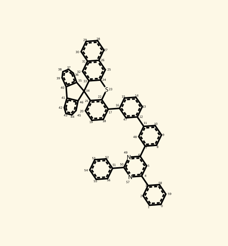 c1ccc(-c2cc(-c3cccc(-c4cccc(-c5cccc6c5Sc5cc7ccccc7cc5C65c6ccccc6-c6ccccc65)c4)c3)nc(-c3ccccc3)n2)cc1